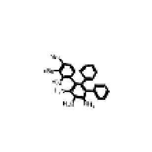 CCCCc1ccc(-c2c(N)c(N)c(N)c(-c3ccccc3)c2-c2ccccc2)c(CCCC)c1CCCC